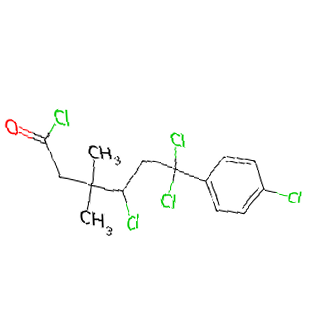 CC(C)(CC(=O)Cl)C(Cl)CC(Cl)(Cl)c1ccc(Cl)cc1